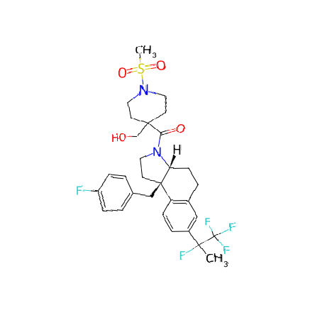 CC(F)(c1ccc2c(c1)CC[C@H]1N(C(=O)C3(CO)CCN(S(C)(=O)=O)CC3)CC[C@@]21Cc1ccc(F)cc1)C(F)(F)F